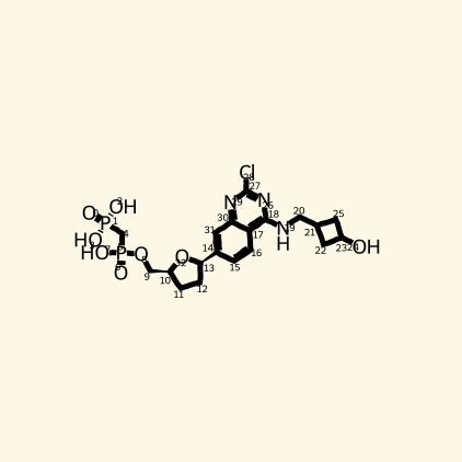 O=P(O)(O)CP(=O)(O)OC[C@@H]1CC[C@H](c2ccc3c(NCC4CC(O)C4)nc(Cl)nc3c2)O1